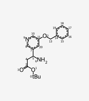 CC(C)(C)OC(=O)CC(N)c1cncc(OCc2ccccc2)c1